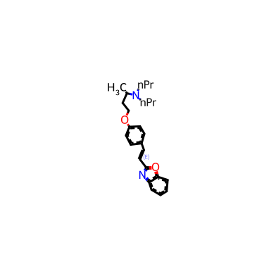 CCCN(CCC)C(C)CCOc1ccc(/C=C/c2nc3ccccc3o2)cc1